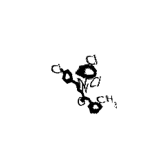 Cc1ccccc1CC(=O)c1cc(-c2ccc(Cl)cc2)n(-c2ccc(Cl)cc2Cl)n1